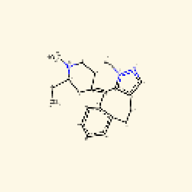 CC(=O)n1ncc2c1C(=C1CCN(C(=O)O)C(CC(Cl)(Cl)Cl)C1)c1ccccc1CC2